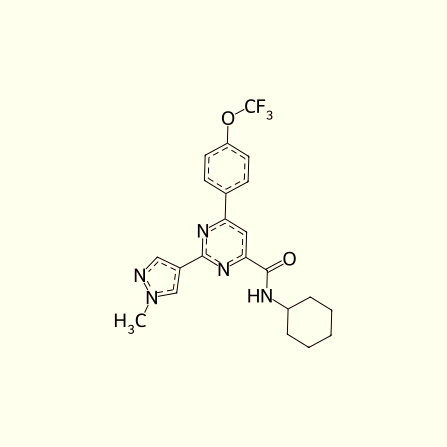 Cn1cc(-c2nc(C(=O)NC3CCCCC3)cc(-c3ccc(OC(F)(F)F)cc3)n2)cn1